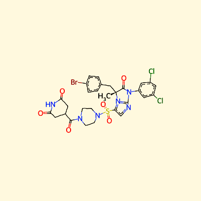 C[C@@]1(Cc2ccc(Br)cc2)C(=O)N(c2cc(Cl)cc(Cl)c2)c2ncc(S(=O)(=O)N3CCN(C(=O)C4CC(=O)NC(=O)C4)CC3)n21